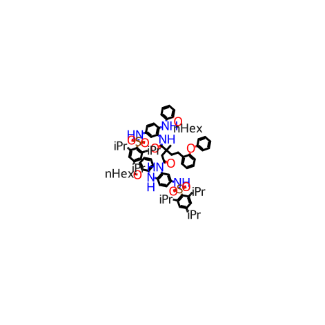 CCCCCCOc1ccccc1Nc1ccc(NS(=O)(=O)c2c(C(C)C)cc(C(C)C)cc2C(C)C)cc1NC(=O)CC(C)(CCc1ccccc1Oc1ccccc1)C(=O)Nc1cc(NS(=O)(=O)c2c(C(C)C)cc(C(C)C)cc2C(C)C)ccc1Nc1ccccc1OCCCCCC